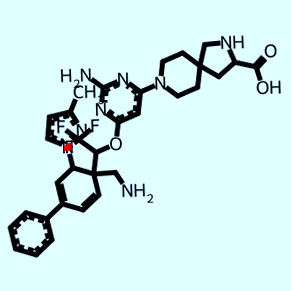 Cc1ccn(C2C=C(c3ccccc3)C=CC2(CN)C(Oc2cc(N3CCC4(CC3)CNC(C(=O)O)C4)nc(N)n2)C(F)(F)F)n1